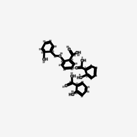 O=C(O)c1ccccc1O.O=C(O)c1ccccc1O.O=C(O)c1ccccc1OCc1ccccc1O